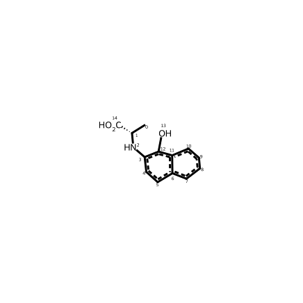 C[C@H](Nc1ccc2ccccc2c1O)C(=O)O